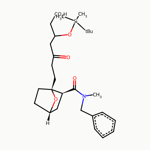 CN(Cc1ccccc1)C(=O)[C@H]1C[C@@H]2CC[C@@]1(CCC(=O)CC(CC(=O)O)O[Si](C)(C)C(C)(C)C)O2